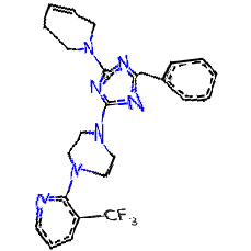 FC(F)(F)c1cccnc1N1CCN(c2nc(-c3ccccc3)nc(N3CC=CCC3)n2)CC1